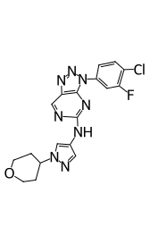 Fc1cc(-n2nnc3cnc(Nc4cnn(C5CCOCC5)c4)nc32)ccc1Cl